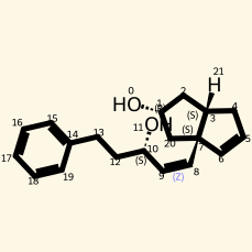 O[C@@H]1C[C@@H]2CC=C[C@]2(/C=C\[C@@H](O)CCc2ccccc2)C1